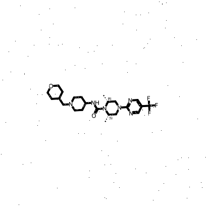 C[C@@H]1CN(c2ncc(C(F)(F)F)cn2)C[C@H](C)N1C(=O)NC1CCN(CC2CCOCC2)CC1